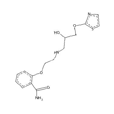 NC(=O)c1ccccc1OCCNCC(O)COc1nccs1